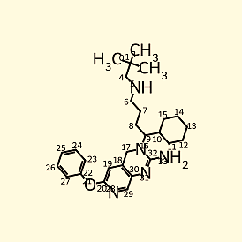 CC(C)(C)CNCCCC(C1CCCCC1)N1Cc2cc(Oc3ccccc3)ncc2N=C1N